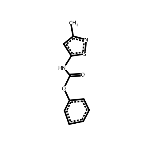 Cc1cc(NC(=O)Oc2ccccc2)sn1